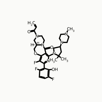 C=CC(=O)N1CCN2C(=O)c3c(N4CC(N5CCN(C)CC5)CC4(C)C)nc(-c4c(F)ccc(F)c4O)c(F)c3OC[C@H]2C1